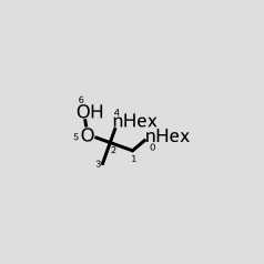 CCCCCCCC(C)(CCCCCC)OO